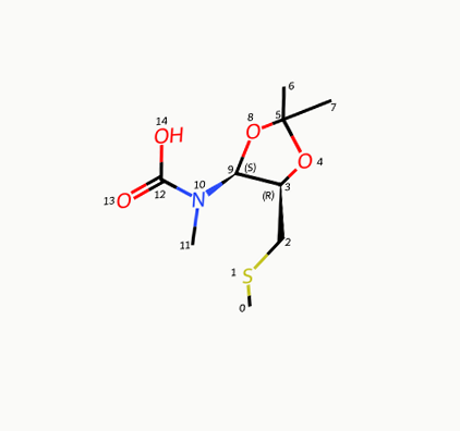 CSC[C@@H]1OC(C)(C)O[C@@H]1N(C)C(=O)O